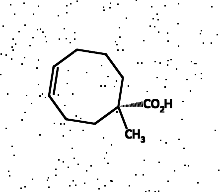 C[C@@]1(C(=O)O)CC/C=C\CCC1